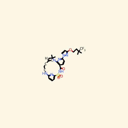 CC1(C)C[C@@H]2CCCNc3cccc(n3)S(=O)(=O)NC(=O)c3ccc(-n4ccc(OCCC(C)(C)C(F)(F)F)n4)nc3N1C2